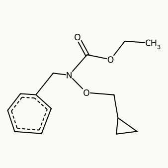 CCOC(=O)N(Cc1ccccc1)OCC1CC1